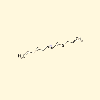 C=CCSC/C=C/SSCC=C